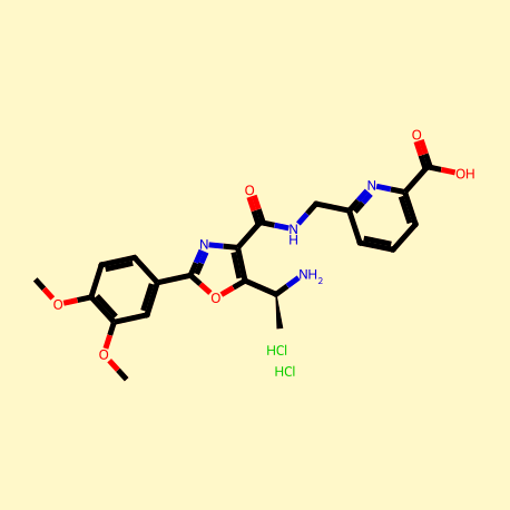 COc1ccc(-c2nc(C(=O)NCc3cccc(C(=O)O)n3)c([C@H](C)N)o2)cc1OC.Cl.Cl